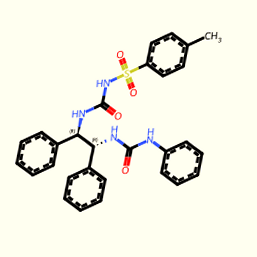 Cc1ccc(S(=O)(=O)NC(=O)N[C@H](c2ccccc2)[C@H](NC(=O)Nc2ccccc2)c2ccccc2)cc1